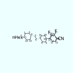 CCCCCC[C@H]1CC[C@H](CC[C@H]2CC[C@H](c3ccc(C#N)c(F)c3F)CC2)CC1